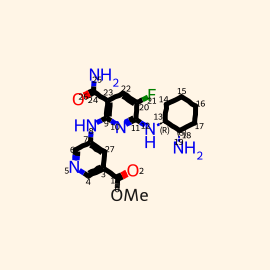 COC(=O)c1cncc(Nc2nc(N[C@@H]3CCCC[C@@H]3N)c(F)cc2C(N)=O)c1